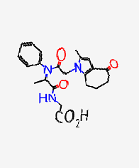 Cc1cc2c(n1CC(=O)N(c1ccccc1)C(C)C(=O)NCC(=O)O)CCCC2=O